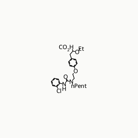 CCCCCN(CCOc1ccc(CC(OCC)C(=O)O)cc1)C(=O)Nc1ccccc1Cl